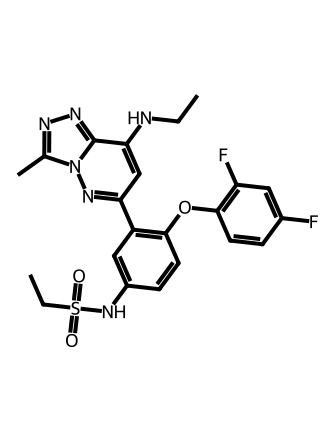 CCNc1cc(-c2cc(NS(=O)(=O)CC)ccc2Oc2ccc(F)cc2F)nn2c(C)nnc12